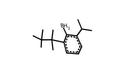 Bc1c(C(C)C)cccc1C(C)(C)C(C)(C)C